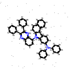 c1ccc(-c2nc3cccc(-n4c5cc(N(c6ccccc6)c6ccccc6)ccc5c5c6ccccc6ccc54)c3nc2-c2ccccc2)cc1